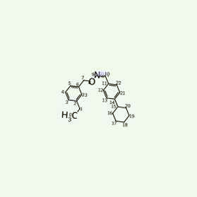 CCc1cccc(CO/N=[C]\c2ccc(C3CCCCC3)cc2)c1